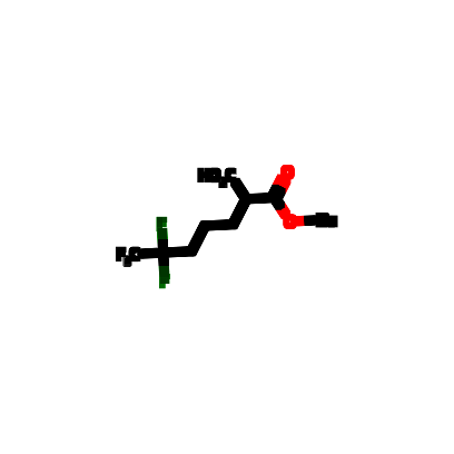 CCC(C)OC(=O)C(CCCC(F)(F)C(F)(F)F)C(=O)O